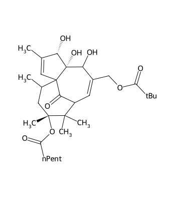 CCCCCC(=O)O[C@]1(C)CC(C)C23C=C(C)[C@H](O)[C@@]2(O)C(O)C(COC(=O)C(C)(C)C)=CC(C3=O)C1(C)C